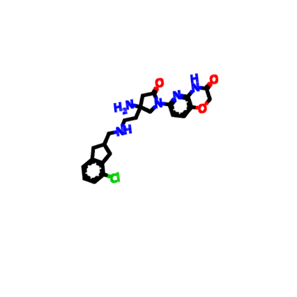 NC1(CCNCC2Cc3cccc(Cl)c3C2)CC(=O)N(c2ccc3c(n2)NC(=O)CO3)C1